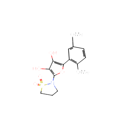 COc1ccc(OC)c(-c2oc(N3CCCS3(=O)=O)c(O)c2O)c1